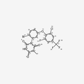 Cn1c(=O)[nH]c(=O)n(-c2cc(Oc3c(F)cc(C(F)(F)F)cc3Cl)ccc2Br)c1=O